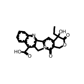 CCC1(O)C(=O)OCc2c1cc1n(c2=O)Cc2c-1nc1ccccc1c2C(=O)O